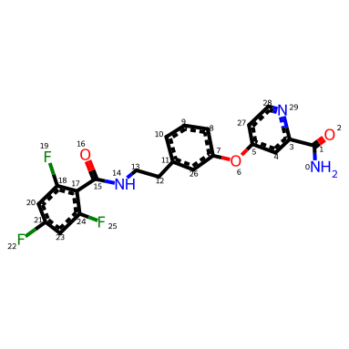 NC(=O)c1cc(Oc2cccc(CCNC(=O)c3c(F)cc(F)cc3F)c2)ccn1